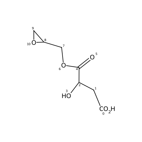 O=C(O)CC(O)C(=O)OCC1CO1